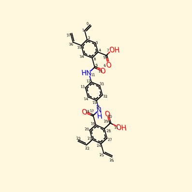 C=Cc1cc(C(=O)O)c(C(=O)Nc2ccc(NC(=O)c3cc(C=C)c(C=C)cc3C(=O)O)cc2)cc1C=C